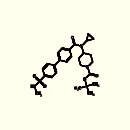 CNS(=O)(=O)c1ccc(-c2ccc(C(=O)N(C3CC3)C3CCN(C(=O)OC(C)(C)C)CC3)cc2)cc1